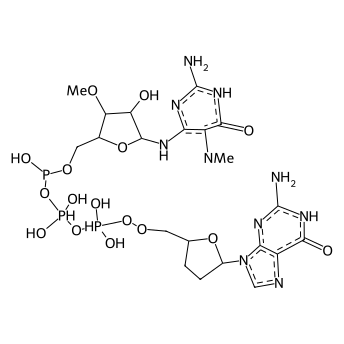 CNc1c(NC2OC(COP(O)O[PH](O)(O)O[PH](O)(O)OOCC3CCC(n4cnc5c(=O)[nH]c(N)nc54)O3)C(OC)C2O)nc(N)[nH]c1=O